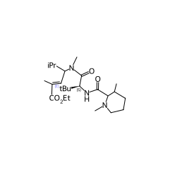 CCOC(=O)/C(C)=C/C(C(C)C)N(C)C(=O)[C@@H](NC(=O)C1C(C)CCCN1C)C(C)(C)C